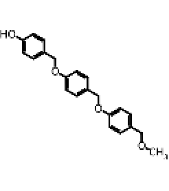 COCc1ccc(OCc2ccc(OCc3ccc(O)cc3)cc2)cc1